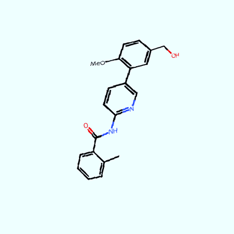 COc1ccc(CO)cc1-c1ccc(NC(=O)c2ccccc2C)nc1